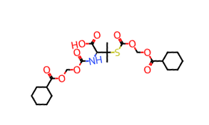 CC(C)(SC(=O)OCOC(=O)C1CCCCC1)[C@@H](NC(=O)OCOC(=O)C1CCCCC1)C(=O)O